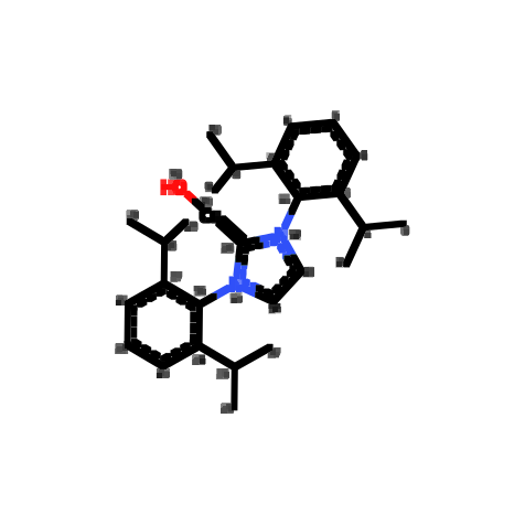 CC(C)c1cccc(C(C)C)c1-n1ccn(-c2c(C(C)C)cccc2C(C)C)[c]1=[Cu][OH]